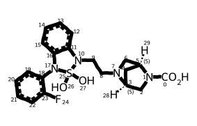 O=C(O)N1C[C@@H]2C[C@H]1CN2CCN1c2ccccc2N(c2ccccc2F)S1(O)O